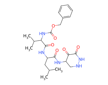 CC(C)CC(NC(=O)C(NC(=O)OCc1ccccc1)C(C)C)C(=O)NC1CNNC(=O)C1=O